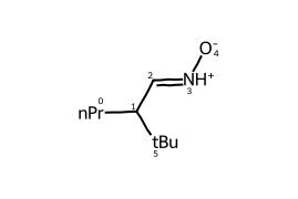 CCCC(C=[NH+][O-])C(C)(C)C